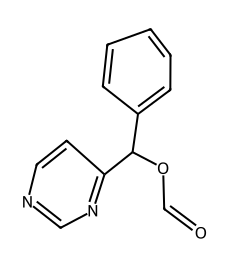 O=COC(c1ccccc1)c1ccncn1